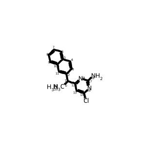 CC(c1ccc2ccccc2c1)c1cc(Cl)nc(N)n1.N